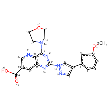 COc1cccc(-c2cnn(-c3nc(N4CCOCC4)c4ncc(C(=O)O)cc4n3)c2)c1